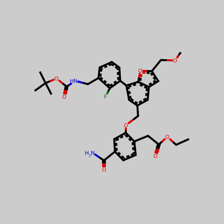 CCOC(=O)Cc1ccc(C(N)=O)cc1OCc1cc(-c2cccc(CNC(=O)OC(C)(C)C)c2F)c2oc(COC)cc2c1